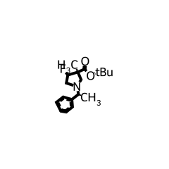 C[C@H](c1ccccc1)N1CC(F)[C@](C)(C(=O)OC(C)(C)C)C1